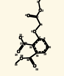 CCOC(=O)COc1cccc(C(=O)OC)c1[N+](=O)[O-]